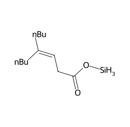 CCCCC(=CCC(=O)O[SiH3])CCCC